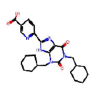 O=C(O)c1ccc(-c2nc3c(=O)n(CC4CCCCC4)c(=O)n(CC4CCCCC4)c3[nH]2)nc1